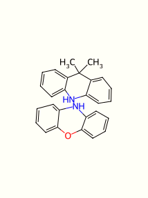 CC1(C)c2ccccc2Nc2ccccc21.c1ccc2c(c1)Nc1ccccc1O2